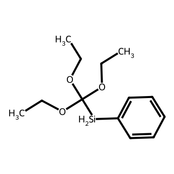 CCOC(OCC)(OCC)[SiH2]c1ccccc1